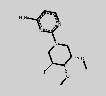 CO[C@@H]1[C@H](F)CN(c2nccc(N)n2)C[C@@H]1OC